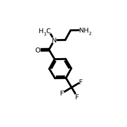 CN(CCN)C(=O)c1ccc(C(F)(F)F)cc1